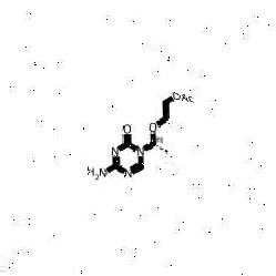 CC(=O)OCCO[C@H](C)n1cnc(N)nc1=O